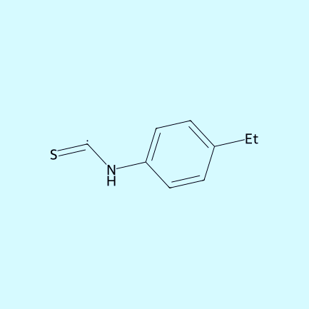 CCc1ccc(N[C]=S)cc1